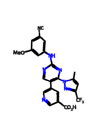 [C-]#[N+]c1cc(Nc2ncc(-c3cncc(C(=O)O)c3)c(-n3nc(C(F)(F)F)cc3C)n2)cc(OC)c1